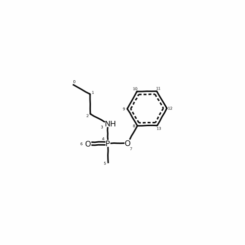 CCCNP(C)(=O)Oc1ccccc1